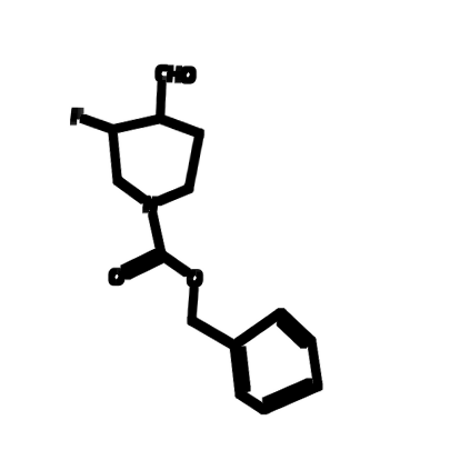 O=CC1CCN(C(=O)OCc2ccccc2)CC1F